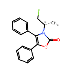 C[C@@H](CF)n1c(-c2ccccc2)c(-c2ccccc2)oc1=O